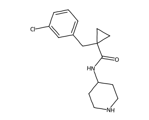 O=C(NC1CCNCC1)C1(Cc2cccc(Cl)c2)CC1